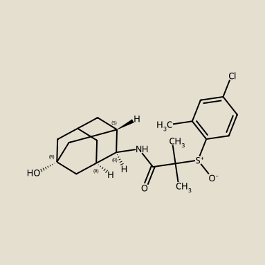 Cc1cc(Cl)ccc1[S+]([O-])C(C)(C)C(=O)N[C@H]1[C@@H]2CC3C[C@H]1C[C@](O)(C3)C2